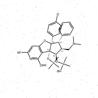 COc1nc(C#N)cc2c1[C@]1(O[Si](C)(C)C)[C@H](O[Si](C)(C)C(C)(C)C)[C@H](CN(C)C)[C@@H](c3ccccc3)[C@]1(c1ccc(Cl)cc1)O2